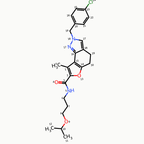 Cc1c(C(=O)NCCCOC(C)C)oc2c1-c1nn(Cc3ccc(Cl)cc3)cc1CC2